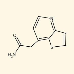 NC(=O)Cc1ccnc2ccsc12